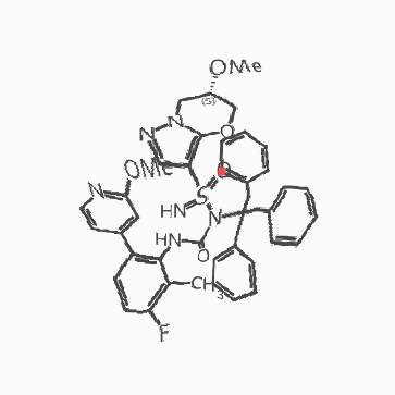 COc1cc(-c2ccc(F)c(C)c2NC(=O)N(C(c2ccccc2)(c2ccccc2)c2ccccc2)S(=N)(=O)c2cnn3c2OC[C@@H](OC)C3)ccn1